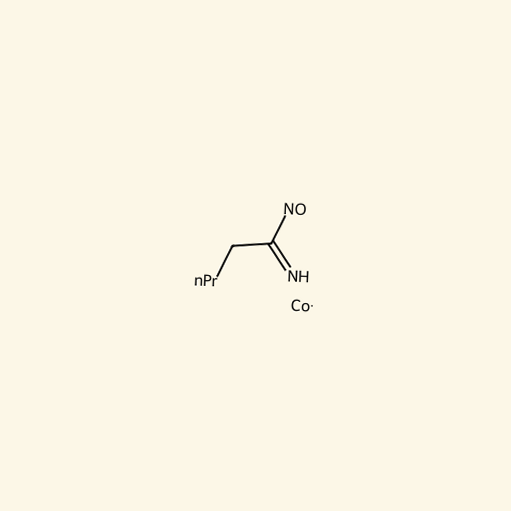 CCCCC(=N)N=O.[Co]